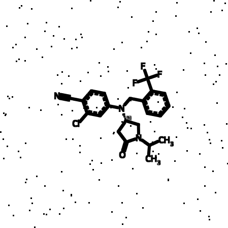 CC(C)N1C[C@@H](N(Cc2ccccc2C(F)(F)F)c2ccc(C#N)c(Cl)c2)CC1=O